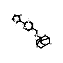 c1coc(-c2ncc(CNC34CC5CC(CC(C5)C3)C4)cn2)c1